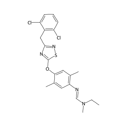 CCN(C)C=Nc1cc(C)c(Oc2nc(Cc3c(Cl)cccc3Cl)ns2)cc1C